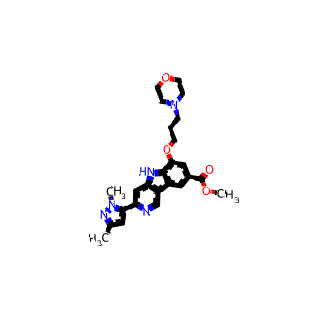 COC(=O)c1cc(OCCCN2CCOCC2)c2[nH]c3cc(-c4cc(C)nn4C)ncc3c2c1